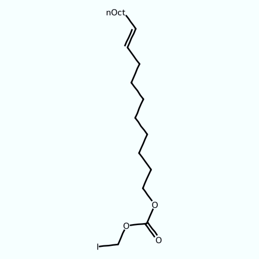 CCCCCCCCC=CCCCCCCCCOC(=O)OCI